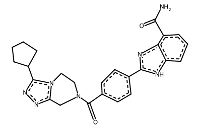 NC(=O)c1cccc2[nH]c(-c3ccc(C(=O)N4CCn5c(nnc5C5CCCC5)C4)cc3)nc12